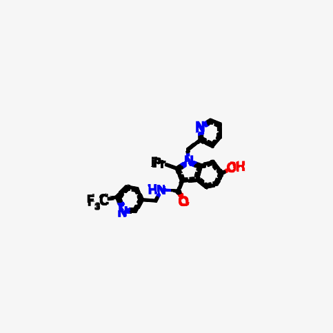 CC(C)c1c(C(=O)NCc2ccc(C(F)(F)F)nc2)c2ccc(O)cc2n1Cc1ccccn1